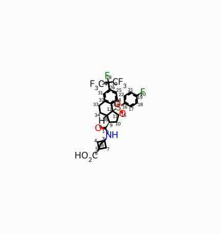 O=C(NC12CC(C(=O)O)(C1)C2)[C@@H]1CC[C@@]2(S(=O)(=O)c3ccc(F)cc3)c3ccc(C(F)(C(F)(F)F)C(F)(F)F)cc3CC[C@@H]12